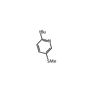 CSc1ccc(C(C)(C)C)nc1